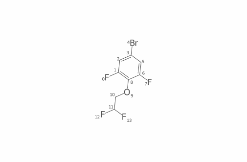 Fc1cc(Br)cc(F)c1OCC(F)F